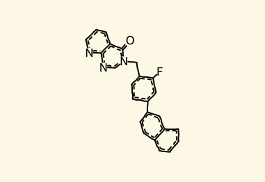 O=c1c2cccnc2ncn1Cc1ccc(-c2ccc3ccccc3c2)cc1F